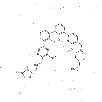 COc1nc(-c2cccc(-c3cccc(-c4cnc(CNC[C@@H]5CCC(=O)N5)c(OC)n4)c3Cl)c2Cl)ccc1CN1CCC(CO)CC1